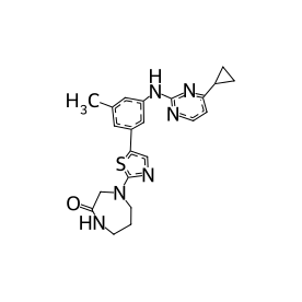 Cc1cc(Nc2nccc(C3CC3)n2)cc(-c2cnc(N3CCCNC(=O)C3)s2)c1